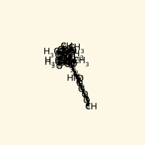 C#CCOCCOCCOCCOCC(=O)NCCCCCCO[C@@H]1OC(COC(C)=O)[C@@H](O[C@@H]2OC(COC(C)=O)[C@H](OC(C)=O)C(OC(C)=O)[C@@H]2OC(C)=O)C(OC(C)=O)[C@@H]1NC(C)=O